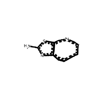 Nc1nc2cc[c]nc2s1